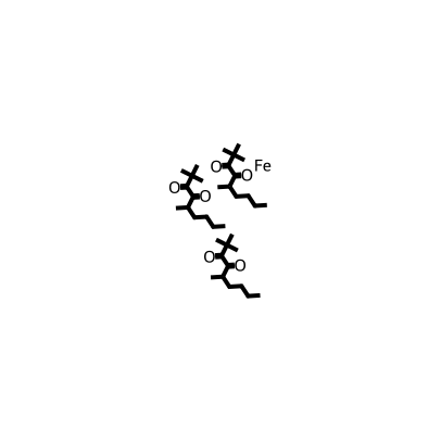 CCCCC(C)C(=O)C(=O)C(C)(C)C.CCCCC(C)C(=O)C(=O)C(C)(C)C.CCCCC(C)C(=O)C(=O)C(C)(C)C.[Fe]